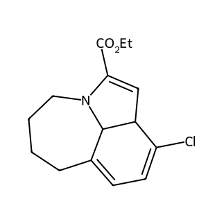 CCOC(=O)C1=CC2C(Cl)=CC=C3CCCCN1C32